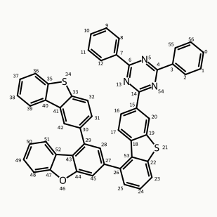 c1ccc(-c2nc(-c3ccccc3)nc(-c3ccc4c(c3)sc3cccc(-c5cc(-c6ccc7sc8ccccc8c7c6)c6c(c5)oc5ccccc56)c34)n2)cc1